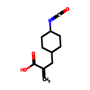 C=C(CC1CCC(N=C=O)CC1)C(=O)O